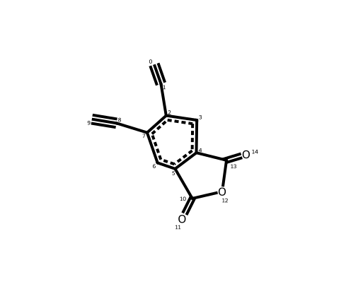 C#Cc1cc2c(cc1C#C)C(=O)OC2=O